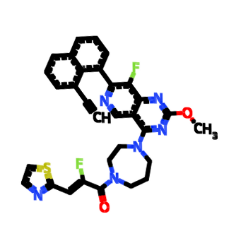 C#Cc1cccc2cccc(-c3ncc4c(N5CCCN(C(=O)/C(F)=C/c6nccs6)CC5)nc(OC)nc4c3F)c12